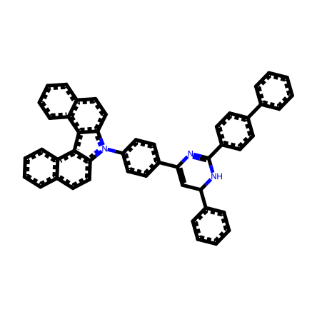 C1=C(c2ccc(-n3c4ccc5ccccc5c4c4c5ccccc5ccc43)cc2)N=C(c2ccc(-c3ccccc3)cc2)NC1c1ccccc1